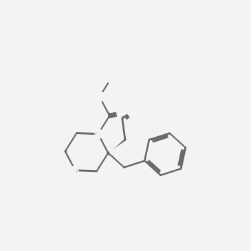 C=CC[C@@]1(Cc2ccccc2)CNCCN1C(=O)OC(C)(C)C